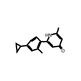 Cc1cc(=O)cc(-c2ccc(C3CC3)cc2C)[nH]1